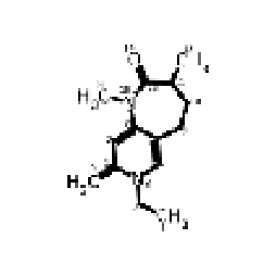 C=C1C=C2C(=CN1CC)CCC(C)C(=O)N2C